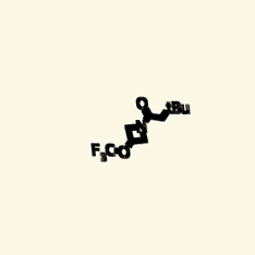 CC(C)(C)CC(=O)N1CC(OC(F)(F)F)C1